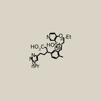 CCCn1cc(CCC(CC(=O)O)c2ccc(C)c(CN3C[C@@H](CC)Oc4ccncc4S3(O)O)c2)nn1